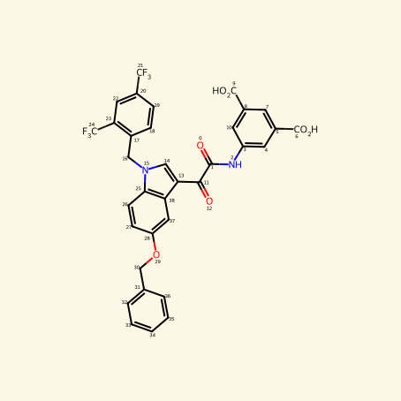 O=C(Nc1cc(C(=O)O)cc(C(=O)O)c1)C(=O)c1cn(Cc2ccc(C(F)(F)F)cc2C(F)(F)F)c2ccc(OCc3ccccc3)cc12